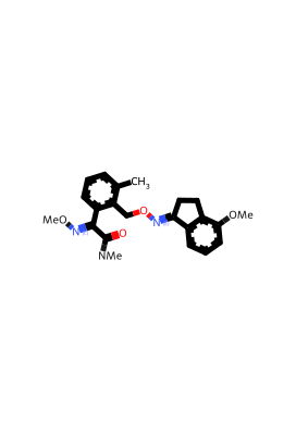 CNC(=O)/C(=N/OC)c1cccc(C)c1CO/N=C1\CCc2c(OC)cccc21